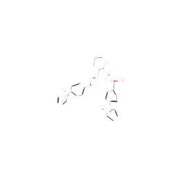 C=C[Si](C)(C=C)c1ccc(C(=O)OO[C]2CCC[CH]C2OOC(=O)c2ccc([Si](C)(C=C)C=C)cc2)cc1